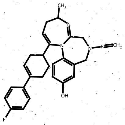 C=BN1CC2=NC(C)CC=C(C3CC=C(c4ccc(F)cc4)CC3)N2c2ccc(O)cc2C1